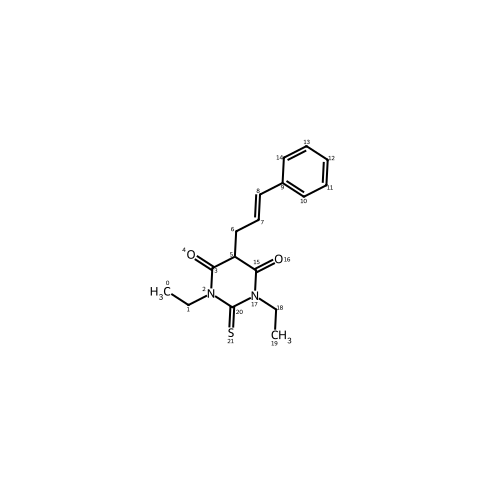 CCN1C(=O)C(CC=Cc2ccccc2)C(=O)N(CC)C1=S